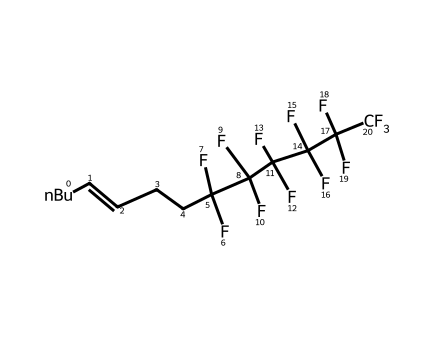 CCCCC=CCCC(F)(F)C(F)(F)C(F)(F)C(F)(F)C(F)(F)C(F)(F)F